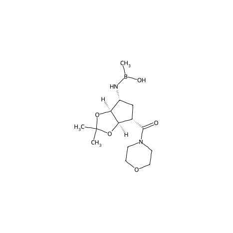 CB(O)N[C@@H]1C[C@H](C(=O)N2CCOCC2)[C@H]2OC(C)(C)O[C@H]21